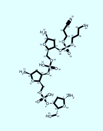 B[C@H]1C[C@@H](OP(=O)(O)OC[C@H]2O[C@@H](B)C[C@H]2OP(=O)(O)OC[C@H]2O[C@@H](B)C[C@H]2OP(=O)(OCCC#N)OCCCS)[C@@H](CO)O1